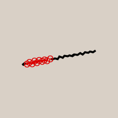 C=COOOOOOOOOOCCCCCCCCC=CCCCCCCCC